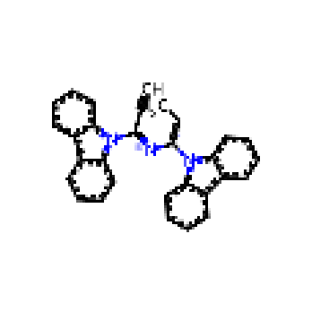 C#C/C(=N\C(=C/C)n1c2ccccc2c2ccccc21)n1c2ccccc2c2ccccc21